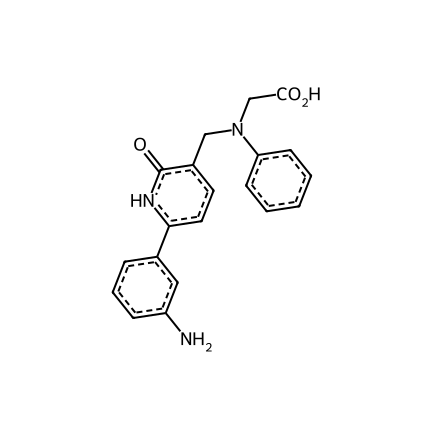 Nc1cccc(-c2ccc(CN(CC(=O)O)c3ccccc3)c(=O)[nH]2)c1